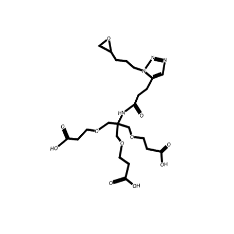 O=C(O)CCOCC(COCCC(=O)O)(COCCC(=O)O)NC(=O)CCc1cnnn1CCCC1CO1